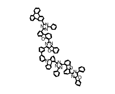 c1ccc(-c2nc(-c3ccc4c5ccccc5c5ccccc5c4c3)nc(-c3cccc4oc5c(-c6nc(-c7cccc(-c8cccc(-n9c%10ccccc%10c%10c(-c%11nc(-c%12ccccc%12)nc(-c%12cccc%13oc%14c(-c%15nc(-c%16ccccc%16)c%16oc%17ccccc%17c%16n%15)cccc%14c%12%13)n%11)cccc%109)c8)c7)c7oc8ccccc8c7n6)cccc5c34)n2)cc1